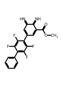 COC(=O)C1=CC(c2c(F)c(F)c(-c3ccccc3)c(F)c2F)=CC(=N)C1=N